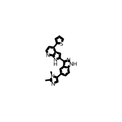 Cc1ncc(-c2ccc3[nH]nc(-c4cc5c(-c6cccs6)ccnc5[nH]4)c3c2)n1C